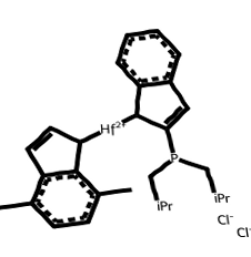 Cc1ccc(C)c2c1C=C[CH]2[Hf+2][CH]1C(P(CC(C)C)CC(C)C)=Cc2ccccc21.[Cl-].[Cl-]